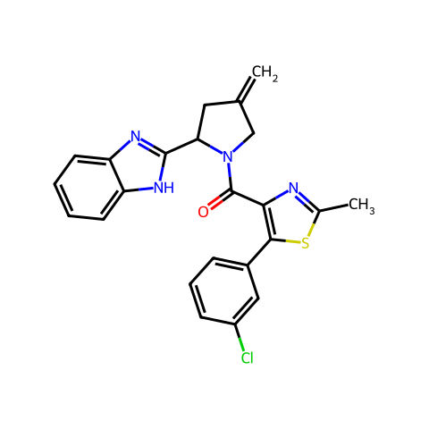 C=C1CC(c2nc3ccccc3[nH]2)N(C(=O)c2nc(C)sc2-c2cccc(Cl)c2)C1